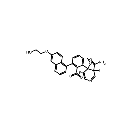 COC1(c2cccc(-c3ccnc4cc(OCCO)ccc34)c2I(=O)=O)C(F)=CN=CC1(F)C(N)=O